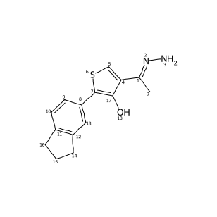 CC(=NN)c1csc(-c2ccc3c(c2)CCC3)c1O